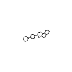 C1=CC(c2ccc(N3CCCCC3)cc2)Oc2ccc3ccccc3c21